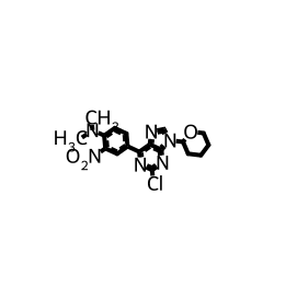 CN(C)c1ccc(-c2nc(Cl)nc3c2ncn3C2CCCCO2)cc1[N+](=O)[O-]